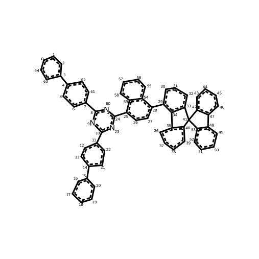 c1ccc(-c2ccc(-c3nc(-c4ccc(-c5ccccc5)cc4)nc(-c4ccc(-c5cccc6c5-c5ccccc5C65c6ccccc6-c6ccccc65)c5ccccc45)n3)cc2)cc1